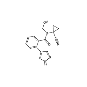 N#CC1(N(CO)C(=O)c2ccccc2-c2cn[nH]c2)CC1